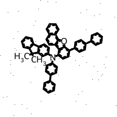 CC1(C)c2ccccc2-c2ccc(N(c3ccc(-c4ccccc4)cc3)c3ccc(-c4ccc(-c5ccccc5)cc4)c4oc5c6ccccc6ccc5c34)cc21